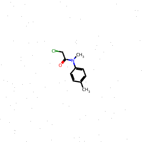 Cc1ccc(N(C)C(=O)CCl)cc1